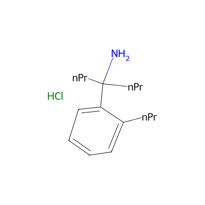 CCCc1ccccc1C(N)(CCC)CCC.Cl